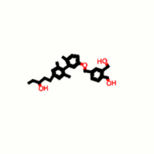 CCC(O)CCc1cc(C)c(-c2cc(OCc3ccc(CO)c(CO)c3)ccc2C)c(C)c1